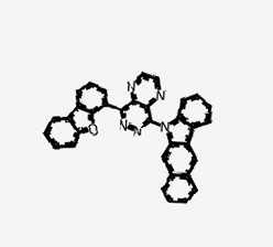 c1ccc2cc3c(cc2c1)c1ccccc1n3-c1nnc(-c2cccc3c2oc2ccccc23)c2nccnc12